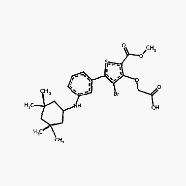 COC(=O)c1sc(-c2cccc(NC3CC(C)(C)CC(C)(C)C3)c2)c(Br)c1OCC(=O)O